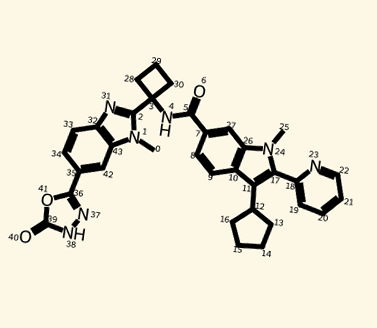 Cn1c(C2(NC(=O)c3ccc4c(C5CCCC5)c(-c5ccccn5)n(C)c4c3)CCC2)nc2ccc(-c3n[nH]c(=O)o3)cc21